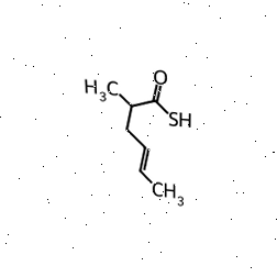 CC=CCC(C)C(=O)S